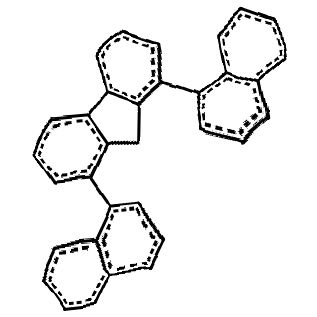 c1cc2c(c(-c3cccc4ccccc34)c1)Cc1c-2cccc1-c1cccc2ccccc12